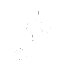 Cc1cc(Cl)c(C2=C(O)C(c3ccccc3)OC2=O)c(CO)c1